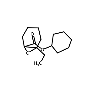 CCC12CCCCC1(C(=O)OC1CCCCC1)O2